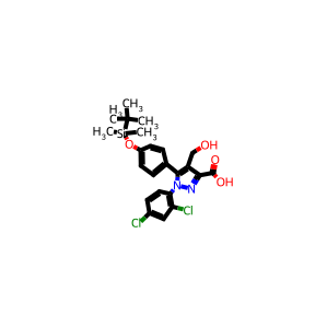 CC(C)(C)[Si](C)(C)Oc1ccc(-c2c(CO)c(C(=O)O)nn2-c2ccc(Cl)cc2Cl)cc1